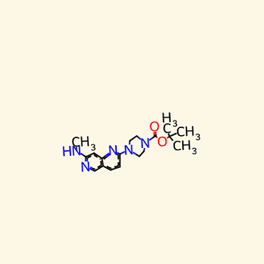 CNc1cc2nc(N3CCN(C(=O)OC(C)(C)C)CC3)ccc2cn1